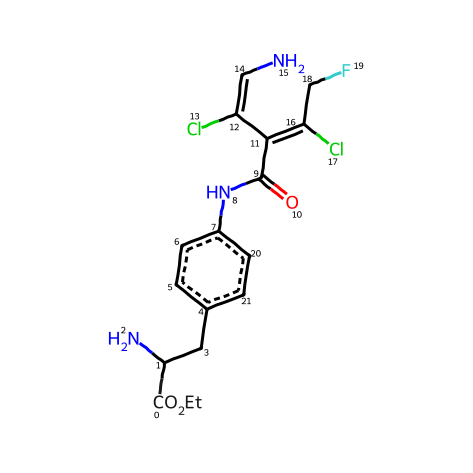 CCOC(=O)C(N)Cc1ccc(NC(=O)C(/C(Cl)=C\N)=C(\Cl)CF)cc1